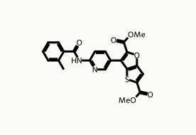 COC(=O)c1cc2oc(C(=O)OC)c(-c3ccc(NC(=O)c4ccccc4C)nc3)c2s1